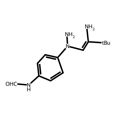 CC(C)(C)/C(N)=C/N(N)c1ccc(NC=O)cc1